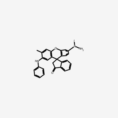 Cc1cc2c(cc1Nc1ccccc1)C1(CC(=O)c3ccccc31)c1ccc(N(N)I)cc1O2